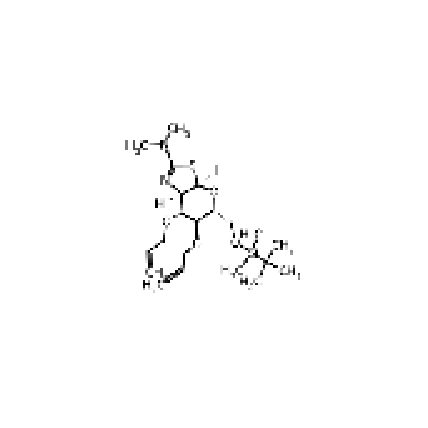 C=CCO[C@@H]1[C@H]2N=C(N(C)C)S[C@H]2O[C@H](CO[Si](C)(C)C(C)(C)C)[C@H]1OCC=C